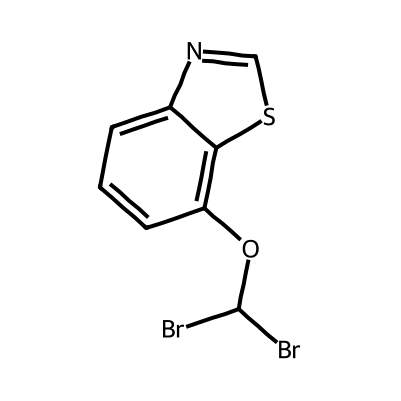 BrC(Br)Oc1cccc2ncsc12